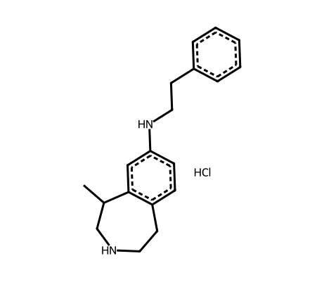 CC1CNCCc2ccc(NCCc3ccccc3)cc21.Cl